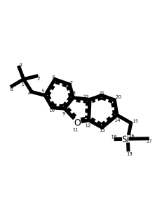 CC(C)(C)Cc1ccc2c(c1)oc1cc(C[Si](C)(C)C)ccc12